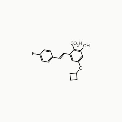 O=C(O)c1c(O)cc(OC2CCC2)cc1C=Cc1ccc(F)cc1